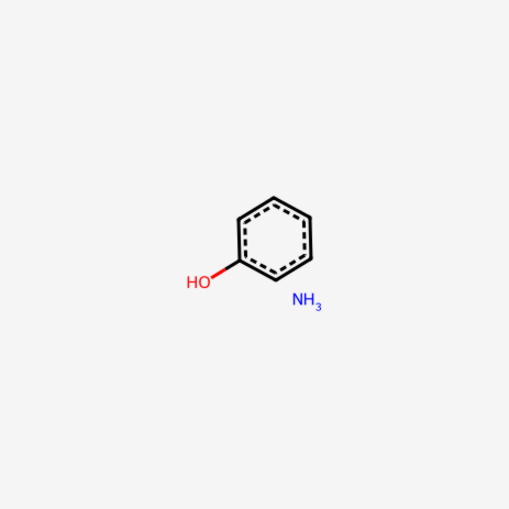 N.Oc1ccccc1